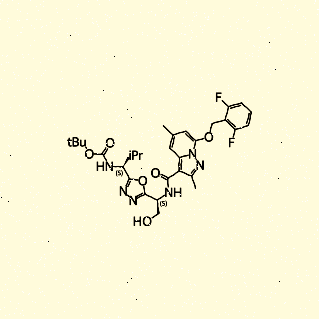 Cc1cc(OCc2c(F)cccc2F)n2nc(C)c(C(=O)N[C@@H](CO)c3nnc([C@@H](NC(=O)OC(C)(C)C)C(C)C)o3)c2c1